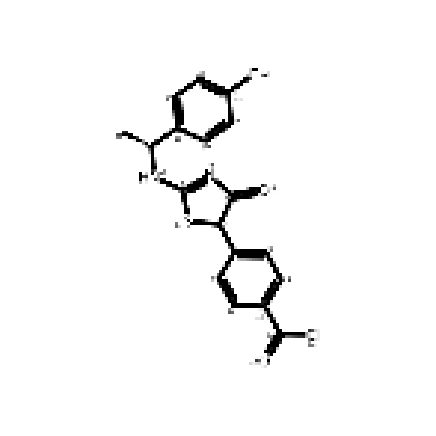 C[C@H](NC1=NC(=O)C(c2ccc(C(=O)Cl)cc2)S1)c1ccc(F)cc1